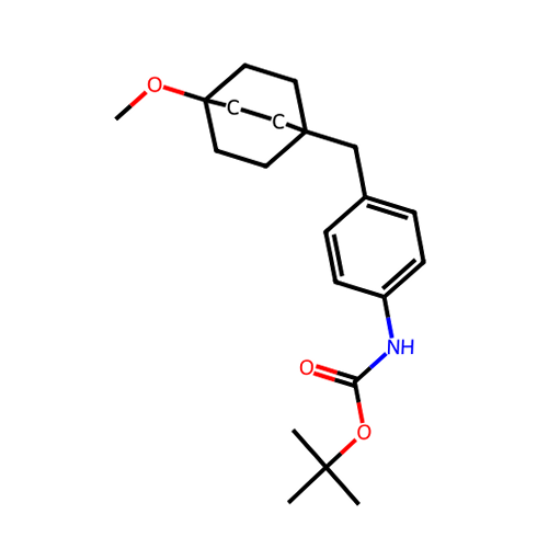 COC12CCC(Cc3ccc(NC(=O)OC(C)(C)C)cc3)(CC1)CC2